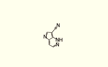 N#Cc1cnc2ccn[nH]c1-2